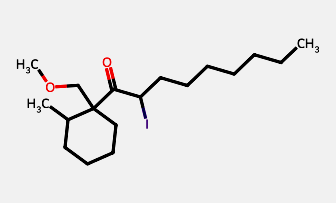 CCCCCCCC(I)C(=O)C1(COC)CCCCC1C